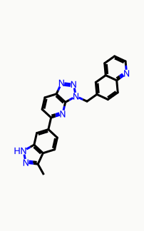 Cc1n[nH]c2cc(-c3ccc4nnn(Cc5ccc6ncccc6c5)c4n3)ccc12